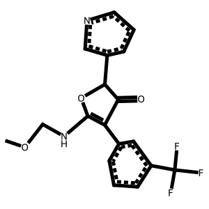 COCNC1=C(c2cccc(C(F)(F)F)c2)C(=O)C(c2cccnc2)O1